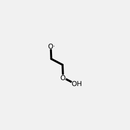 [O]CCOO